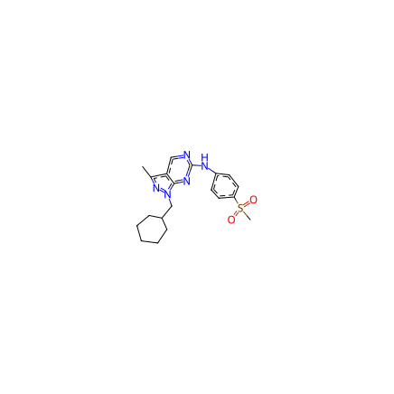 Cc1nn(CC2CCCCC2)c2nc(Nc3ccc(S(C)(=O)=O)cc3)ncc12